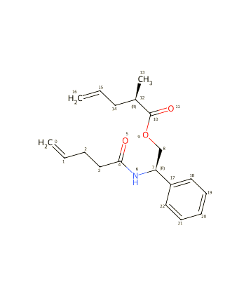 C=CCCC(=O)N[C@@H](COC(=O)[C@H](C)CC=C)c1ccccc1